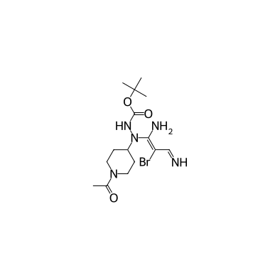 CC(=O)N1CCC(N(NC(=O)OC(C)(C)C)/C(N)=C(\Br)C=N)CC1